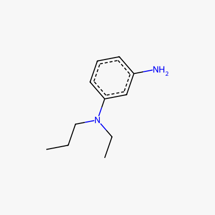 CCCN(CC)c1cccc(N)c1